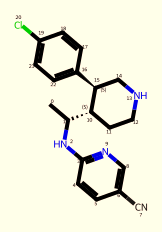 CC(Nc1ccc(C#N)cn1)[C@H]1CCNC[C@@H]1c1ccc(Cl)cc1